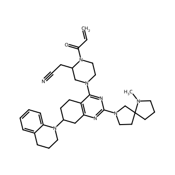 C=CC(=O)N1CCN(c2nc(N3CCC4(CCCN4C)C3)nc3c2CCC(N2CCCc4ccccc42)C3)CC1CC#N